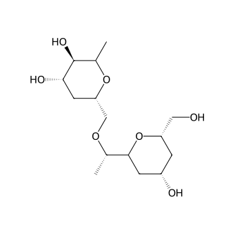 CC1O[C@H](CO[C@@H](C)C2C[C@@H](O)C[C@@H](CO)O2)C[C@H](O)[C@H]1O